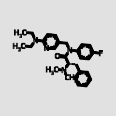 CCN(CC)c1ccc(CN(C(=O)[C@H](Cc2ccccc2)N(C)C)c2ccc(F)cc2)cn1